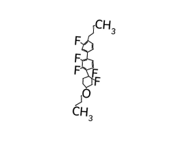 CCCCOC1CCC(c2ccc(-c3ccc(CCCC)c(F)c3)c(F)c2F)C(F)(F)C1